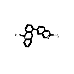 Cc1ncc2cc(-c3cccc(C(N)=O)c3Cc3ccccc3)ccc2n1